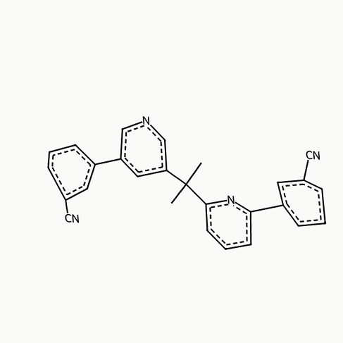 CC(C)(c1cncc(-c2cccc(C#N)c2)c1)c1cccc(-c2cccc(C#N)c2)n1